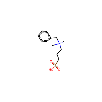 C[N+](C)(CCCS(=O)(=O)O)Cc1ccccc1